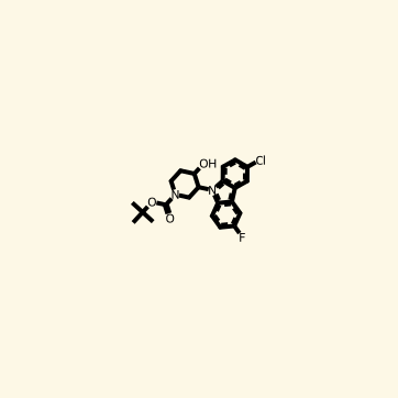 CC(C)(C)OC(=O)N1CCC(O)C(n2c3ccc(F)cc3c3cc(Cl)ccc32)C1